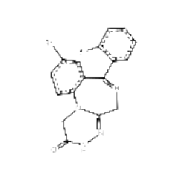 O=C1CN2C(=NN1)CN=C(c1ccccc1Br)c1cc(Br)ccc12